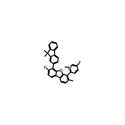 Cc1ccc2c(oc3c(-c4ccc5c(c4)C(C)(C)c4ccccc4-5)c(F)ccc32)c1-c1ccc(F)c[n+]1C